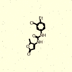 CCc1ccc(NC(=O)NC2=CC(=O)OC2C)cc1Cl